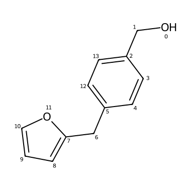 OCc1ccc(Cc2ccco2)cc1